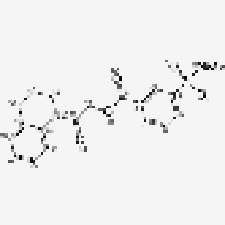 CNS(=O)(=O)c1cccc(C(=O)OCC(=O)N2CCCc3ccccc32)c1